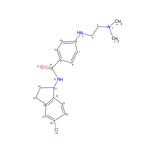 CN(C)CCNc1ccc(C(=O)NC2CCc3cc(Cl)ccc32)cc1